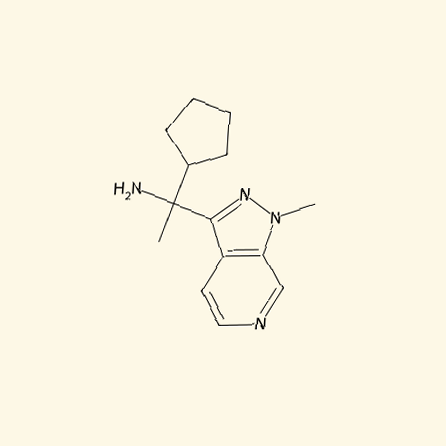 Cn1nc(C(C)(N)C2CCCC2)c2ccncc21